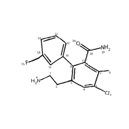 Cc1c(Cl)cc(CCN)c(-c2cccc(F)c2)c1C(N)=O